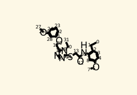 CCc1ccc(OC)cc1NC(=O)CSc1nnc(COc2cccc(OC)c2)n1CC